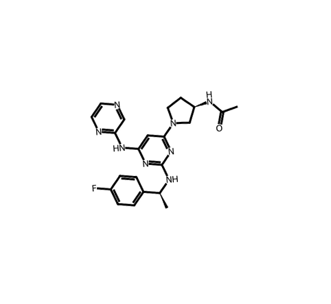 CC(=O)N[C@@H]1CCN(c2cc(Nc3cnccn3)nc(N[C@@H](C)c3ccc(F)cc3)n2)C1